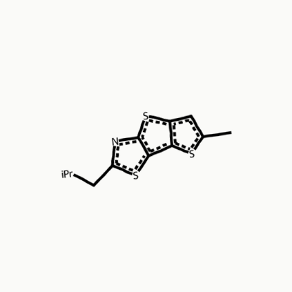 Cc1cc2sc3nc(CC(C)C)sc3c2s1